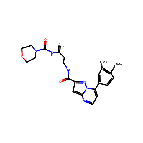 C=C(CCNC(=O)c1cc2nccc(-c3ccc(OC)c(OC)c3)n2n1)NC(=O)N1CCOCC1